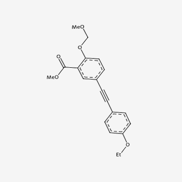 CCOc1ccc(C#Cc2ccc(OCOC)c(C(=O)OC)c2)cc1